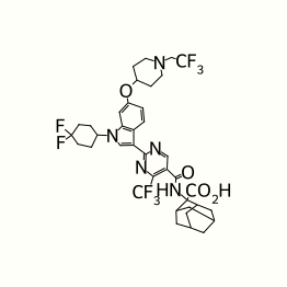 O=C(NC1(C(=O)O)C2CC3CC(C2)CC1C3)c1cnc(-c2cn(C3CCC(F)(F)CC3)c3cc(OC4CCN(CC(F)(F)F)CC4)ccc23)nc1C(F)(F)F